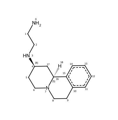 NCCN[C@@H]1CCN2CCc3ccccc3[C@@H]2C1